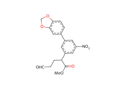 COC(=O)C(CCC=O)c1cc(-c2ccc3c(c2)OCO3)cc([N+](=O)[O-])c1